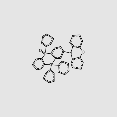 O=P1(c2ccccc2)c2ccccc2[Si](c2ccccc2)(c2ccccc2)c2cc(N3c4ccccc4Oc4ccccc43)ccc21